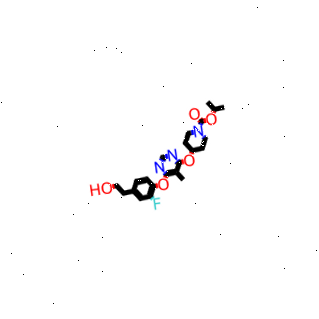 Cc1c(Oc2ccc(CCO)cc2F)ncnc1OC1CCN(C(=O)OC(C)C)CC1